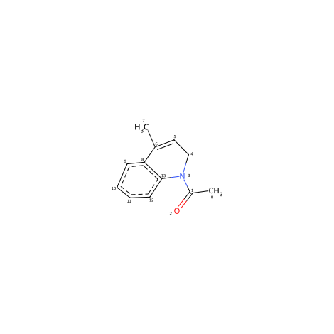 CC(=O)N1CC=C(C)c2ccccc21